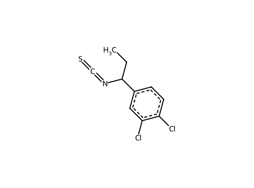 CCC(N=C=S)c1ccc(Cl)c(Cl)c1